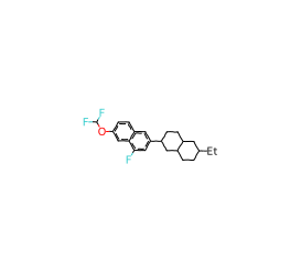 CCC1CCC2CC(c3cc(F)c4cc(OC(F)F)ccc4c3)CCC2C1